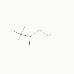 [CH2]CCC(F)C(F)(F)F